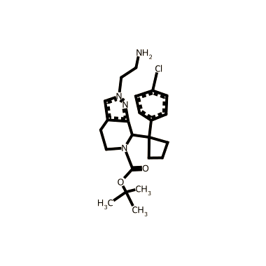 CC(C)(C)OC(=O)N1CCc2cn(CCN)nc2C1C1(c2ccc(Cl)cc2)CCC1